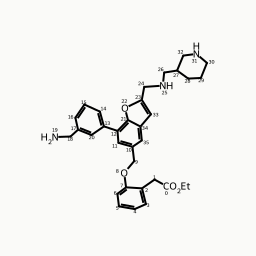 CCOC(=O)Cc1ccccc1OCc1cc(-c2cccc(CN)c2)c2oc(CNCC3CCCNC3)cc2c1